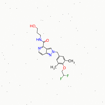 Cc1cc(Cn2cc3c(C(=O)NCCCO)nccc3n2)cc(C)c1OCC(F)F